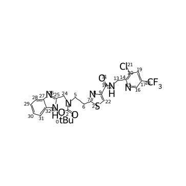 CC(C)(C)OC(=O)N(CCc1nc(C(=O)NCc2ncc(C(F)(F)F)cc2Cl)cs1)Cc1nc2ccccc2[nH]1